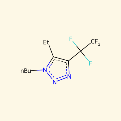 CCCCn1nnc(C(F)(F)C(F)(F)F)c1CC